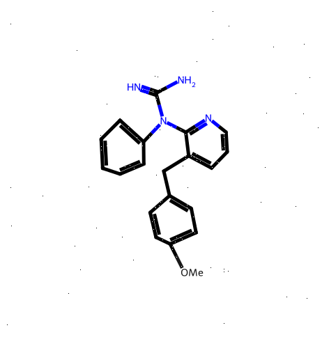 COc1ccc(Cc2cccnc2N(C(=N)N)c2ccccc2)cc1